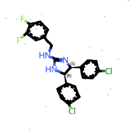 Fc1ccc(CNC2=N[C@@H](c3ccc(Cl)cc3)[C@@H](c3ccc(Cl)cc3)N2)cc1F